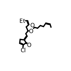 C/C=C\CCCC(=O)OC(C/C=C\CC)C/C=C1\CC=C(Cl)C1=O